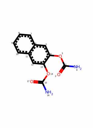 NC(=O)Oc1cc2ccccc2cc1OC(N)=O